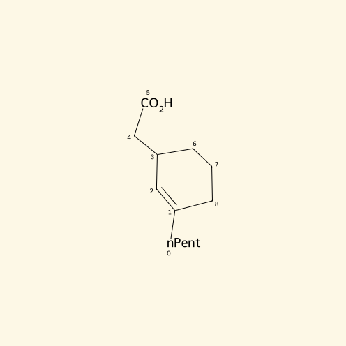 CCCCCC1=CC(CC(=O)O)CCC1